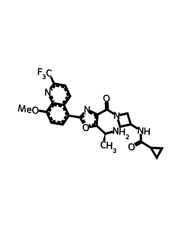 COc1ccc(-c2nc(C(=O)N3CC(NC(=O)C4CC4)C3)c([C@H](C)N)o2)c2ccc(C(F)(F)F)nc12